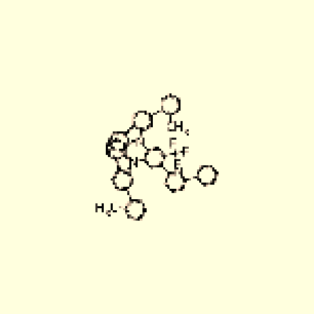 Cc1ccccc1-c1ccc2c3ccccc3n(-c3cc(-c4cccc(-c5ccccc5)n4)c(C(F)(F)F)cc3-n3c4ccccc4c4ccc(-c5ccccc5C)cc43)c2c1